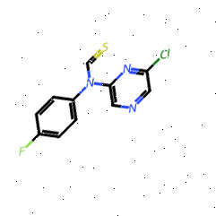 Fc1ccc(N([C]=S)c2cncc(Cl)n2)cc1